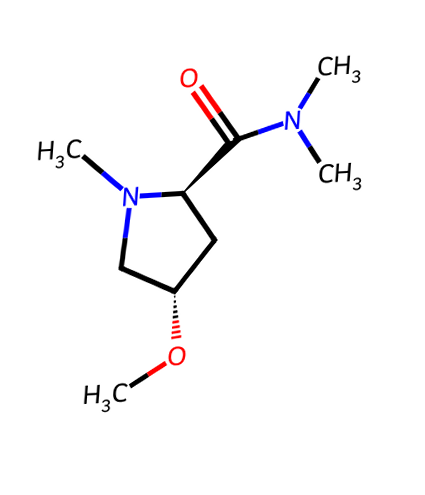 CO[C@H]1C[C@H](C(=O)N(C)C)N(C)C1